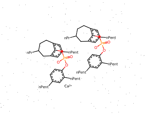 CCCCCc1ccc(OP(=O)([O-])Oc2c3cc(CCCCC)cc2CC(CCC)CC3)c(CCCCC)c1.CCCCCc1ccc(OP(=O)([O-])Oc2c3cc(CCCCC)cc2CC(CCC)CC3)c(CCCCC)c1.[Ca+2]